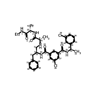 CCNC(=O)[C@@H](NC(=O)[C@H](C)NC[C@H](Cc1ccccc1)NC(=O)c1cc(Cl)cc(C(=O)N[C@H](C)c2cccc(Cl)c2)c1)C(C)C